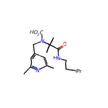 Cc1cc(CN(C(=O)O)C(C)(C)C(=O)NCCC(C)C)cc(C)n1